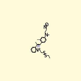 CCSSCC[n+]1ccccc1/C(C)=C/c1ccc(N(C)CCN=O)cc1C